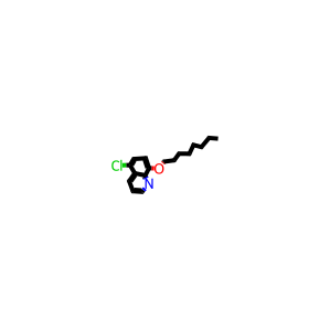 CCCCCCCCOc1ccc(Cl)c2cccnc12